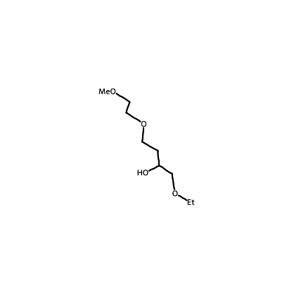 CCOCC(O)CCOCCOC